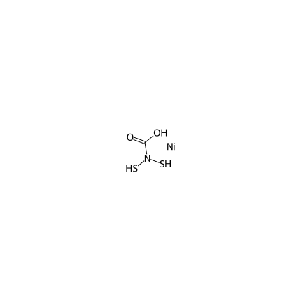 O=C(O)N(S)S.[Ni]